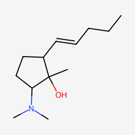 CCCC=CC1CCC(N(C)C)C1(C)O